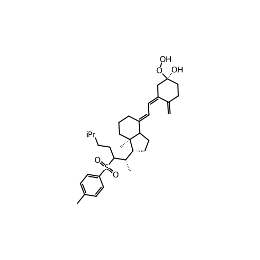 C=C1CC[C@](O)(OO)C/C1=C/C=C1CCC[C@@]2(C)C1CC[C@@H]2[C@H](C)C(CCC(C)C)S(=O)(=O)c1ccc(C)cc1